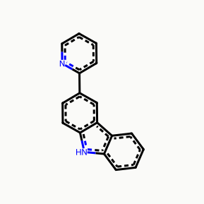 c1ccc(-c2ccc3[nH]c4ccccc4c3c2)nc1